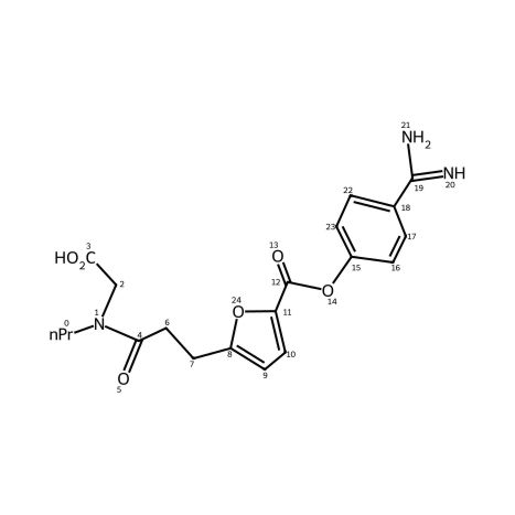 CCCN(CC(=O)O)C(=O)CCc1ccc(C(=O)Oc2ccc(C(=N)N)cc2)o1